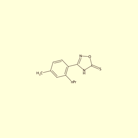 CCCc1cc(C)ccc1-c1noc(=S)[nH]1